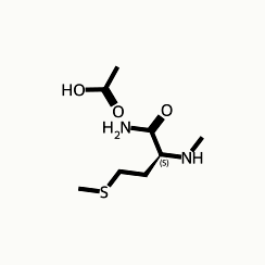 CC(=O)O.CN[C@@H](CCSC)C(N)=O